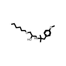 CCCCCCOCC(O)CNC(C)(C)Cc1ccc(OC)cc1